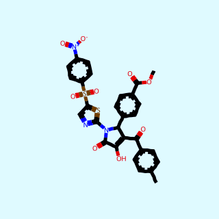 COC(=O)c1ccc(C2C(C(=O)c3ccc(C)cc3)=C(O)C(=O)N2c2ncc(S(=O)(=O)c3ccc([N+](=O)[O-])cc3)s2)cc1